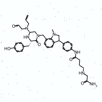 C=CCN(CC=O)[C@H]1CN(Cc2cccc3c2N(C)CC3c2ccc(NC(=O)CCCNCC(N)=O)cc2)C(=O)[C@H](Cc2ccc(O)cc2)N1